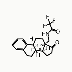 O=C(NC[C@]12CC[C@@H]3c4ccccc4CC[C@H]3[C@@H]1CCC2=O)C(F)(F)F